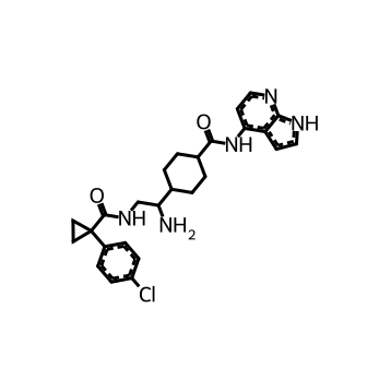 NC(CNC(=O)C1(c2ccc(Cl)cc2)CC1)C1CCC(C(=O)Nc2ccnc3[nH]ccc23)CC1